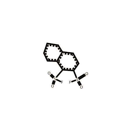 O=S(=O)(F)c1ccc2ccccc2c1S(=O)(=O)F